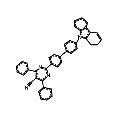 N#Cc1c(-c2ccccc2)nc(-c2ccc(-c3ccc(-n4c5c(c6ccccc64)C=CCC5)cc3)cc2)nc1-c1ccccc1